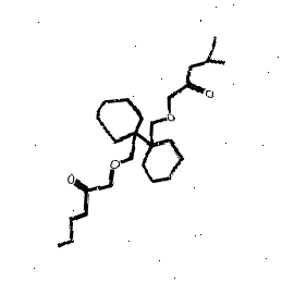 CCCCC(=O)COCC1(C2(COCC(=O)CC(C)C)CCCCC2)CCCCC1